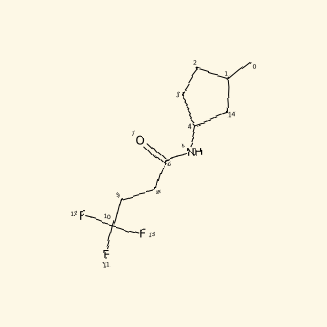 CC1CCC(NC(=O)CCC(F)(F)F)C1